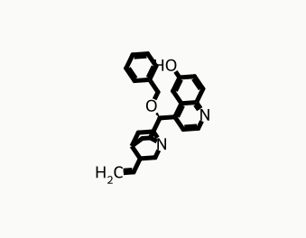 C=CC1CN2CCC1CC2[C@H](OCc1ccccc1)c1ccnc2ccc(O)cc12